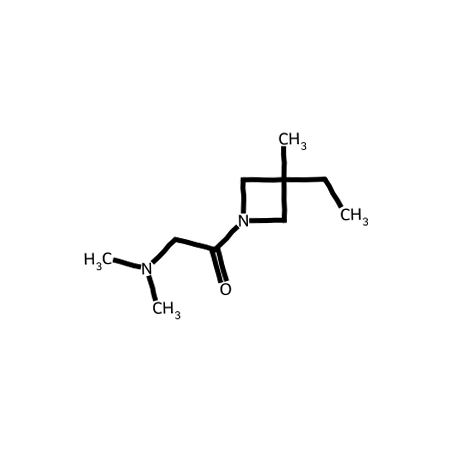 CCC1(C)CN(C(=O)CN(C)C)C1